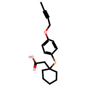 CC#CCOc1ccc(SC2(CC(=O)O)CCCCC2)cc1